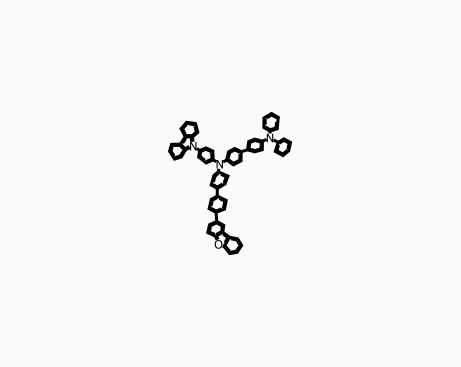 c1ccc(N(c2ccccc2)c2ccc(-c3ccc(N(c4ccc(-c5ccc(-c6ccc7oc8ccccc8c7c6)cc5)cc4)c4ccc(-n5c6ccccc6c6ccccc65)cc4)cc3)cc2)cc1